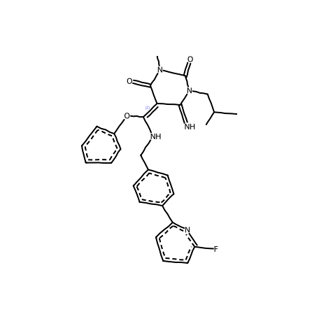 CC(C)CN1C(=N)/C(=C(\NCc2ccc(-c3cccc(F)n3)cc2)Oc2ccccc2)C(=O)N(C)C1=O